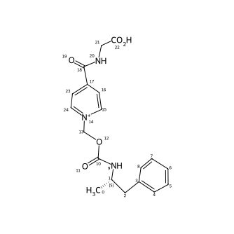 C[C@@H](Cc1ccccc1)NC(=O)OC[n+]1ccc(C(=O)NCC(=O)O)cc1